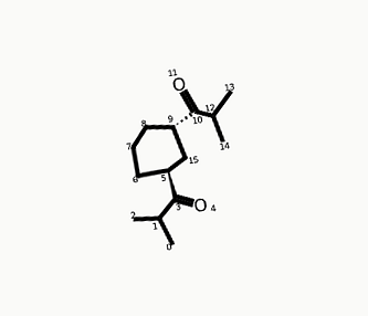 CC(C)C(=O)[C@H]1CCC[C@H](C(=O)C(C)C)C1